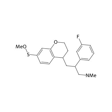 CNCC(CC1CCOc2cc(SOC)ccc21)c1cccc(F)c1